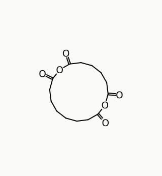 O=C1CCCCCCC(=O)OC(=O)CCCCC(=O)O1